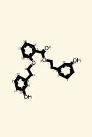 O=C(OCCc1cccc(O)c1)c1ccccc1OCCc1cccc(O)c1